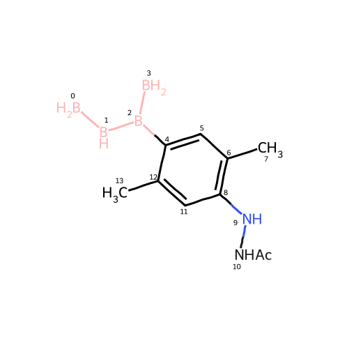 BBB(B)c1cc(C)c(NNC(C)=O)cc1C